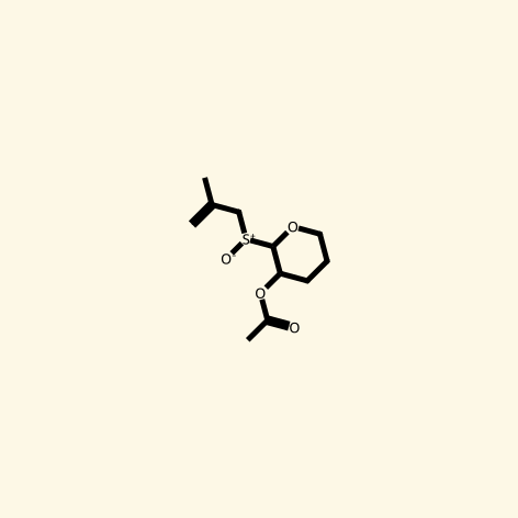 C=C(C)C[S+]([O-])C1OCCCC1OC(C)=O